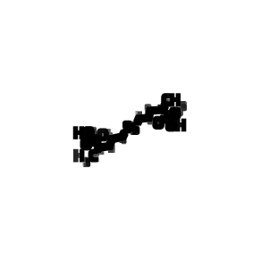 CC(CCCSSCCCC(C)S(=O)(=O)O)S(=O)(=O)O